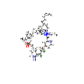 CC(=O)OCCCc1cccc([C@@]2(C)CCCC(C)(C)CS(=O)(=O)CCc3c(c(F)c(F)c4[nH]ccc34)Sc3ccnc(c3)-c3nc2nn3C)c1